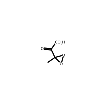 CC1(C(=O)C(=O)O)OO1